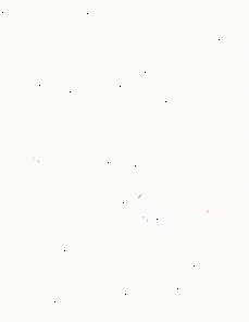 Cl.N#Cc1cccc(-c2cc([C@H](CN)CCO)ccc2Cl)c1